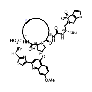 COc1ccc2c(O[C@@H]3C[C@H]4C(=O)N[C@H](C(=O)O)CC/C=C\CCCCC[C@H](NC(=O)N[C@H](CN5Cc6sccc6S5(=O)=O)C(C)(C)C)C(=O)N4C3)cc(-c3csc(NC(C)C)n3)nc2c1